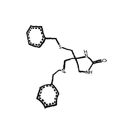 O=C1NCC(CSCc2ccccc2)(CSCc2ccccc2)N1